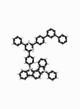 c1ccc(-c2cccc(-c3ccc(-c4nc(-c5ccccc5)cc(-c5ccc(-n6c7ccccc7c7ccc8c(c9ccccc9n8-c8ccccc8)c76)cc5)n4)cc3)c2)cc1